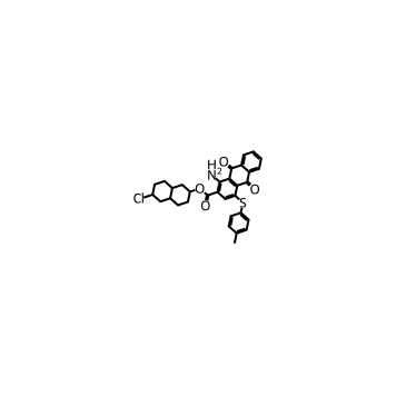 Cc1ccc(Sc2cc(C(=O)OC3CCC4CC(Cl)CCC4C3)c(N)c3c2C(=O)c2ccccc2C3=O)cc1